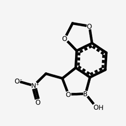 O=[N+]([O-])CC1OB(O)c2ccc3c(c21)OCO3